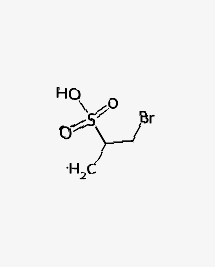 [CH2]C(CBr)S(=O)(=O)O